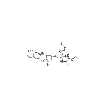 CCOC(=O)[C@H](C)NP(=O)(COc1cc(Br)c(Oc2ccc(O)c(C(C)C)c2)c(Br)c1)N[C@@H](C)C(=O)OCC